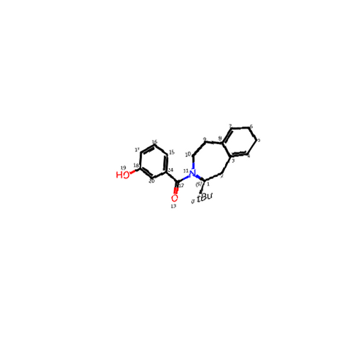 CC(C)(C)[C@@H]1CC2=CCCC=C2CCN1C(=O)c1cccc(O)c1